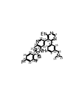 CCc1ncnc(-c2cccc(CN(C)C)c2)c1-c1cnc(C)c(NS(=O)(=O)c2ccc(F)cc2F)c1